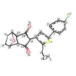 CCc1sc(-c2ccc(Cl)cc2)cc1C1C(=O)C2C3CCC(O3)C2C1=O